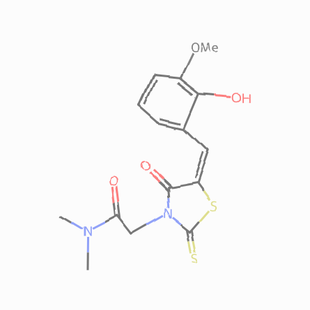 COc1cccc(C=C2SC(=S)N(CC(=O)N(C)C)C2=O)c1O